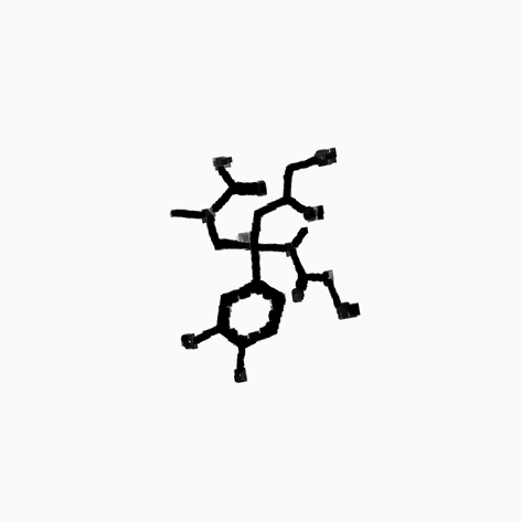 CC(C)C(=O)N(C)C[C@](CC(O)CO)(c1ccc(Cl)c(Cl)c1)N(C)C(=O)OC(C)(C)C